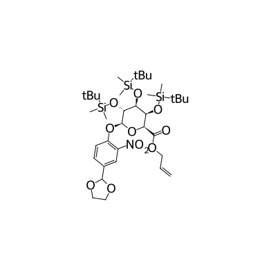 C=CCOC(=O)[C@H]1O[C@@H](Oc2ccc(C3OCCO3)cc2[N+](=O)[O-])[C@H](O[Si](C)(C)C(C)(C)C)[C@@H](O[Si](C)(C)C(C)(C)C)[C@H]1O[Si](C)(C)C(C)(C)C